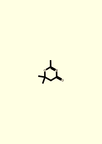 CC1=NC(=O)CC(C)(C)O1